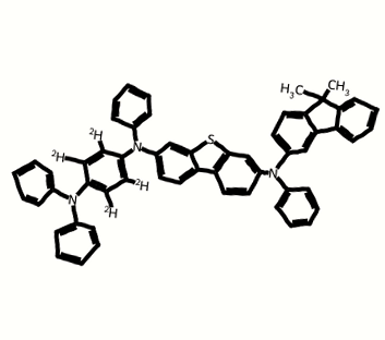 [2H]c1c([2H])c(N(c2ccccc2)c2ccc3c(c2)sc2cc(N(c4ccccc4)c4ccc5c(c4)-c4ccccc4C5(C)C)ccc23)c([2H])c([2H])c1N(c1ccccc1)c1ccccc1